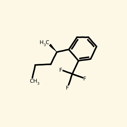 CCC[C@@H](C)c1ccccc1C(F)(F)F